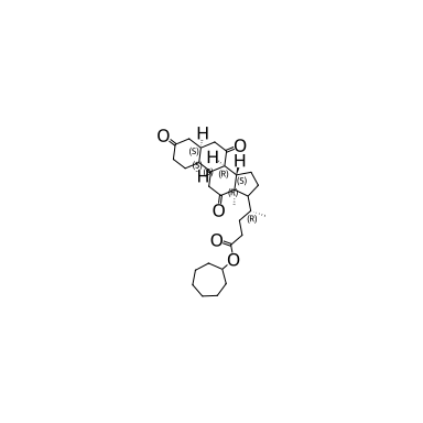 C[C@H](CCC(=O)OC1CCCCCC1)C1CC[C@H]2[C@@H]3C(=O)C[C@@H]4CC(=O)CC[C@]4(C)[C@H]3CC(=O)[C@]12C